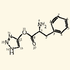 N[C@@H](Cc1ccccc1)C(=O)Oc1c[nH]nn1